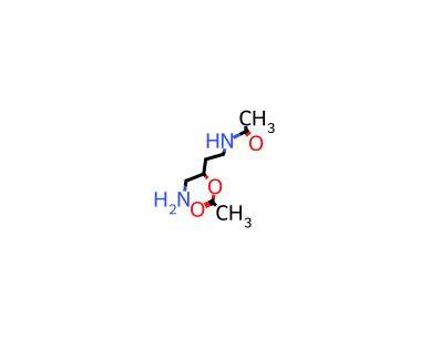 CC(=O)NCCC(CN)OC(C)=O